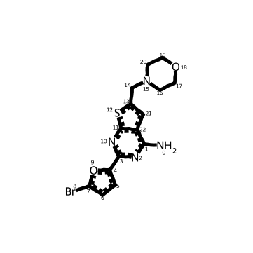 Nc1nc(-c2ccc(Br)o2)nc2sc(CN3CCOCC3)cc12